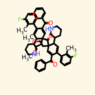 COCCC1(C(=O)C2(CCOC)C=C(C(=O)c3ccccc3)C(c3cccc(F)c3C)=CC2C2CCCNC2)C=C(C(=O)c2ccccc2)C(c2cccc(F)c2C)=CC1C1CCCNC1